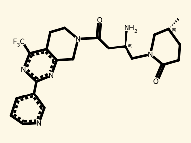 C[C@@H]1CCC(=O)N(C[C@H](N)CC(=O)N2CCc3c(nc(-c4cccnc4)nc3C(F)(F)F)C2)C1